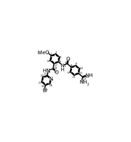 COc1ccc(NC(=O)c2ccc(C(=N)N)cc2)c(C(=O)Nc2ccc(Br)cn2)c1